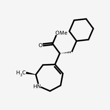 COC(=O)[C@H](CC1CCCCC1)C1=CCCN[C@@H](C)C1